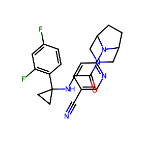 N#Cc1ccc(N2C3CCC2CN(C(=O)CNC2(c4ccc(F)cc4F)CC2)C3)nc1